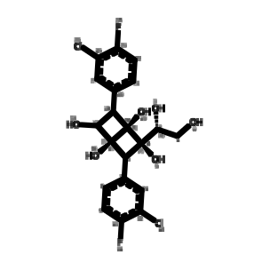 OC[C@@H](O)[C@]1(O)C(c2ccc(F)c(Cl)c2)[C@]2(O)C(O)C(c3ccc(F)c(Cl)c3)[C@@]21O